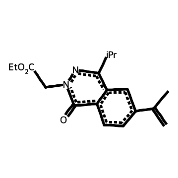 C=C(C)c1ccc2c(=O)n(CC(=O)OCC)nc(C(C)C)c2c1